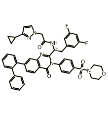 O=C(Cn1ccc(C2CC2)n1)N[C@@H](Cc1cc(F)cc(F)c1)c1nc2cc(-c3ccccc3-c3ccccc3)ccc2c(=O)n1-c1ccc(S(=O)(=O)N2CCOCC2)cc1